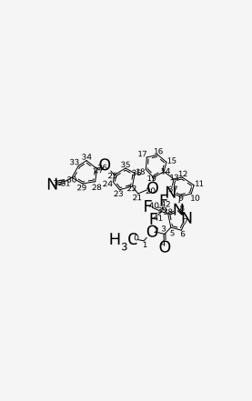 CCOC(=O)c1cnn(-c2cccc(-c3ccccc3OCc3ccc(Oc4ccc(C#N)cc4)cc3)n2)c1C(F)(F)F